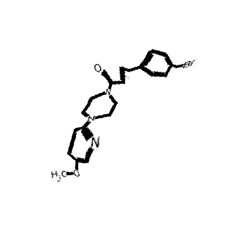 COc1ccc(N2CCN(C(=O)/C=C/c3ccc(Br)cc3)CC2)nc1